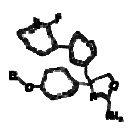 CCOc1ccc(C2(c3cccc(-c4cccnc4F)c3)COC(N)=N2)cc1